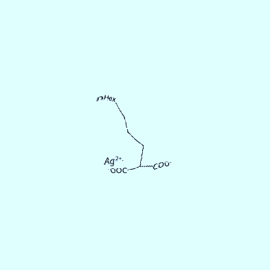 CCCCCCCCCC(C(=O)[O-])C(=O)[O-].[Ag+2]